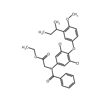 CCOC(=O)CN(C(=O)c1ccccc1)c1cc(Cl)c(Oc2ccc(OC)c(C(C)CC)c2)c(Cl)c1